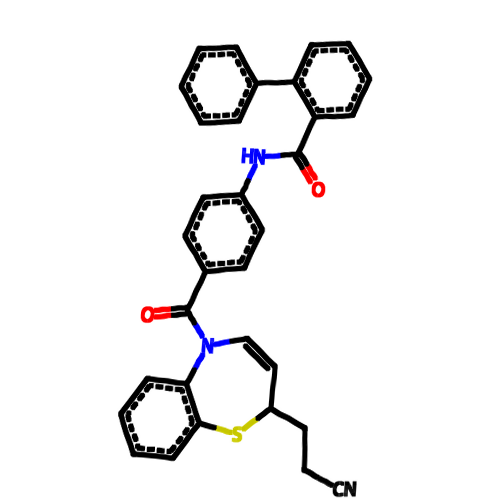 N#CCCC1C=CN(C(=O)c2ccc(NC(=O)c3ccccc3-c3ccccc3)cc2)c2ccccc2S1